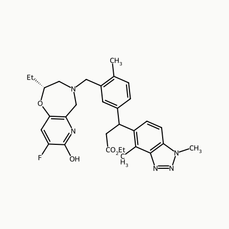 CCOC(=O)CC(c1ccc(C)c(CN2Cc3nc(O)c(F)cc3O[C@H](CC)C2)c1)c1ccc2c(nnn2C)c1C